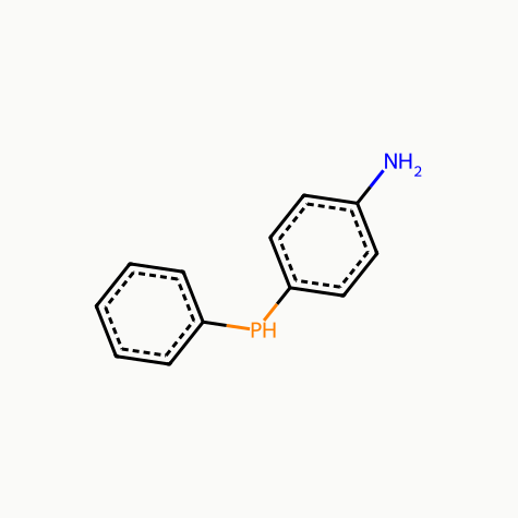 Nc1ccc(Pc2ccccc2)cc1